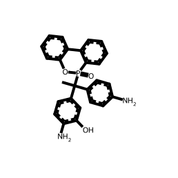 CC(c1ccc(N)cc1)(c1ccc(N)c(O)c1)P1(=O)Oc2ccccc2-c2ccccc21